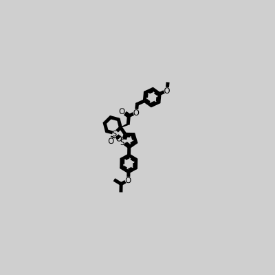 COc1ccc(COC(=O)C[C@]2(c3ccc(-c4ccc(OC(C)C)cc4)s3)CCCCS2(=O)=O)cc1